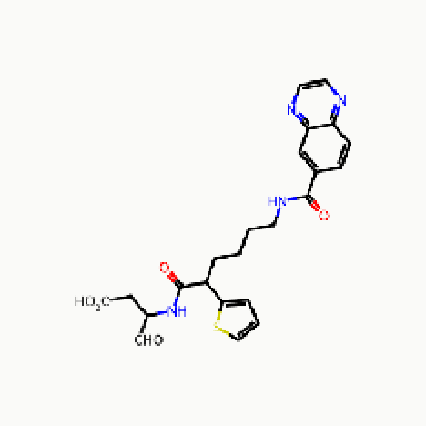 O=CC(CC(=O)O)NC(=O)C(CCCCNC(=O)c1ccc2nccnc2c1)c1cccs1